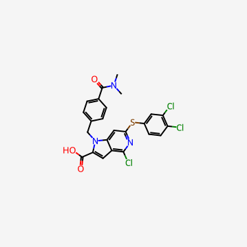 CN(C)C(=O)c1ccc(Cn2c(C(=O)O)cc3c(Cl)nc(Sc4ccc(Cl)c(Cl)c4)cc32)cc1